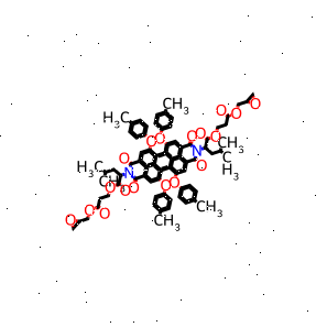 Cc1ccc(Oc2cc3c4c(cc(Oc5ccc(C)cc5)c5c6c(Oc7ccc(C)cc7)cc7c8c(cc(Oc9ccc(C)cc9)c(c2c45)c86)C(=O)N(C(CC(C)C)C(=O)OCCC(=O)OCC2CO2)C7=O)C(=O)N(C(CC(C)C)C(=O)OCCC(=O)OCC2CO2)C3=O)cc1